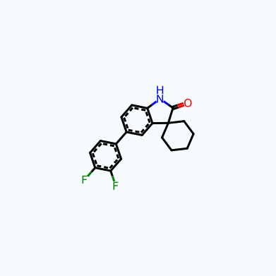 O=C1Nc2ccc(-c3ccc(F)c(F)c3)cc2C12CCCCC2